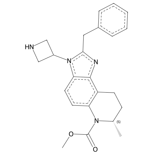 COC(=O)N1c2ccc3c(nc(Cc4ccccc4)n3C3CNC3)c2CC[C@@H]1C